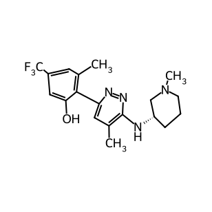 Cc1cc(-c2c(C)cc(C(F)(F)F)cc2O)nnc1N[C@H]1CCCN(C)C1